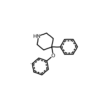 [c]1cccc(OC2(c3ccccc3)CCNCC2)c1